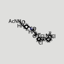 CC(=O)NCC(=O)Nc1ccc(/C=C/C(=O)NCC(=O)N(C)c2ccc(Cl)c(COc3cccn4c(Cl)c(C)nc34)c2Cl)cc1